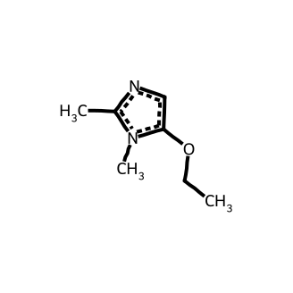 CCOc1cnc(C)n1C